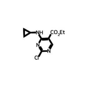 CCOC(=O)c1cnc(Cl)nc1NC1CC1